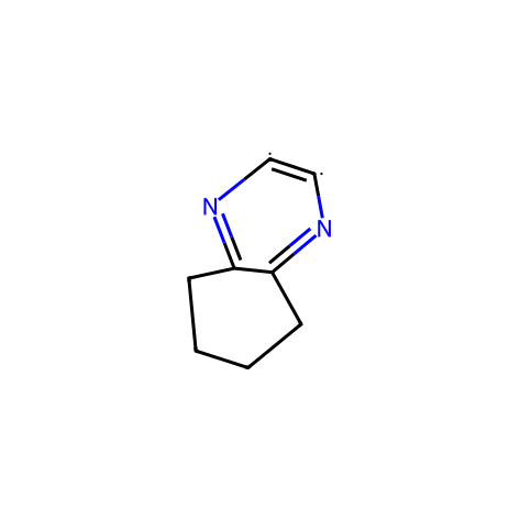 [c]1[c]nc2c(n1)CCCC2